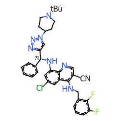 CC(C)(C)N1CCC(n2cc([C@@H](Nc3cc(Cl)cc4c(NCc5cccc(F)c5F)c(C#N)cnc34)c3ccccc3)nn2)CC1